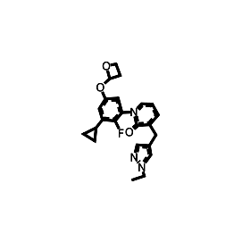 CCn1cc(Cc2cccn(-c3cc(OC4CCO4)cc(C4CC4)c3F)c2=O)cn1